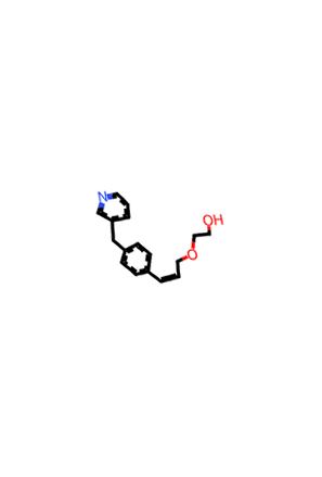 OCCOC/C=C\c1ccc(Cc2cccnc2)cc1